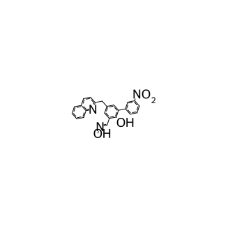 O=[N+]([O-])c1cccc(-c2cc(Cc3ccc4ccccc4n3)cc(C=NO)c2O)c1